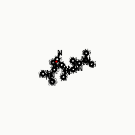 N#Cc1cccc(-c2ccc(-c3nc(-c4ccccc4)nc(-c4ccc(C#N)c(-n5c6ccccc6c6cc(-c7nc(-c8ccccc8)nc(-c8ccccc8)n7)ccc65)c4)n3)cc2-n2c3ccccc3c3cc(-c4nc(-c5ccccc5)nc(-c5ccccc5)n4)ccc32)c1